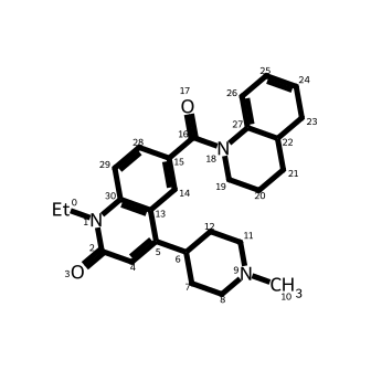 CCn1c(=O)cc(C2CCN(C)CC2)c2cc(C(=O)N3CCCC4CC=CC=C43)ccc21